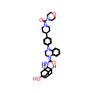 O=C(N1CCOCC1)N1CCC(c2ccc(N3CCN(C(=O)NC4[C@@H]5CC6C[C@H]4CC(O)(C6)C5)c4ccccc43)cc2)CC1